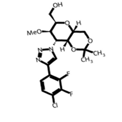 CO[C@@H]1[C@@H](n2cc(-c3ccc(Cl)c(F)c3F)nn2)[C@H]2OC(C)(C)OC[C@H]2O[C@@H]1CO